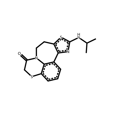 CC(C)Nc1nc2c(s1)CCN1C(=O)CSc3cccc-2c31